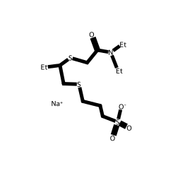 CCC(CSCCCS(=O)(=O)[O-])SCC(=O)N(CC)CC.[Na+]